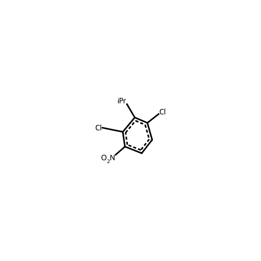 CC(C)c1c(Cl)ccc([N+](=O)[O-])c1Cl